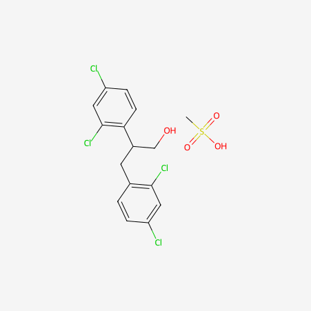 CS(=O)(=O)O.OCC(Cc1ccc(Cl)cc1Cl)c1ccc(Cl)cc1Cl